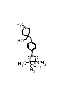 CN1CCC(CO)(Cc2ccc(B3OC(C)(C)C(C)(C)O3)cc2)CC1